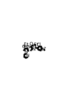 CCO[C@H]1CN(c2ccccn2)C[C@H]1Nc1c(C)nc(-c2ccc(N(C)C)cc2Cl)n(CC)c1=O